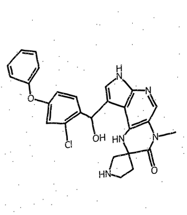 CN1C(=O)C2(CCNC2)Nc2c1cnc1[nH]cc(C(O)c3ccc(Oc4ccccc4)cc3Cl)c21